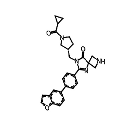 O=C(C1CC1)N1CC[C@@H](CN2C(=O)C3(CNC3)N=C2c2ccc(-c3ccc4occc4c3)cc2)C1